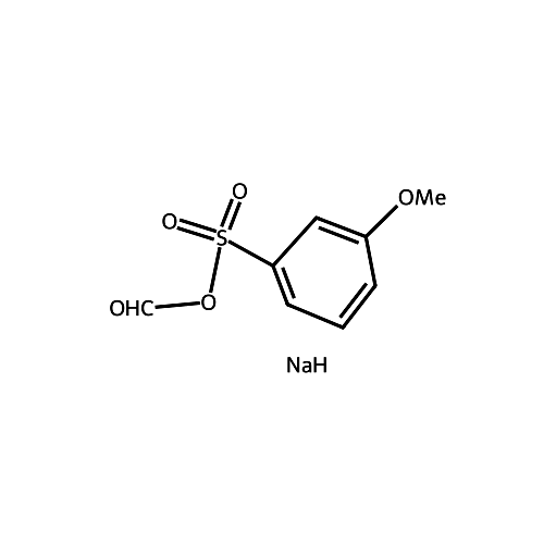 COc1cccc(S(=O)(=O)OC=O)c1.[NaH]